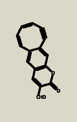 O=Cc1cc2cc3c(cc2oc1=O)C#C/C=C\C=C/3